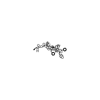 C#CCNC(=O)COCC(=O)O[C@](C)(CI)C(=O)[C@H](CC(C)C)NC(=O)[C@H](Cc1ccccc1)NC(=O)C(CC(C)C)NC(=O)[C@H](CCc1ccccc1)NC(=O)CN1CCOCC1